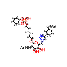 COc1cccc(-c2cn(CC3OC(OCCCCCCOP(=O)(O)Oc4ccccc4)C(NC(C)=O)C(O)C3O)nn2)c1